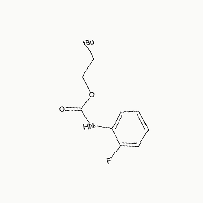 CC(C)(C)CCOC(=O)Nc1ccccc1F